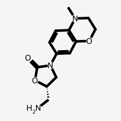 CN1CCOc2cc(N3C[C@H](CN)OC3=O)ccc21